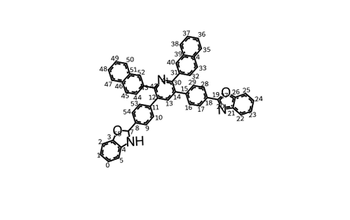 c1ccc2c(c1)NC(c1ccc(-c3cc(-c4ccc(-c5nc6ccccc6o5)cc4)c(-c4ccc5ccccc5c4)nc3-c3ccc4ccccc4c3)cc1)O2